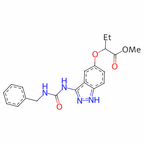 CCC(Oc1ccc2[nH]nc(NC(=O)NCc3ccccc3)c2c1)C(=O)OC